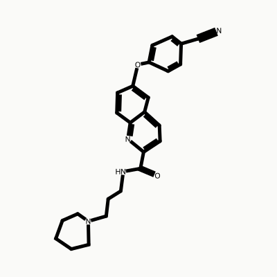 N#Cc1ccc(Oc2ccc3nc(C(=O)NCCCN4CCCCC4)ccc3c2)cc1